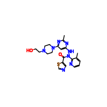 Cc1nc(NN(C(=O)c2cncs2)c2ncccc2C)cc(N2CCN(CCO)CC2)n1